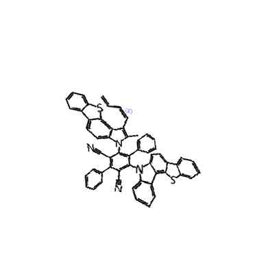 C=C/C=C\c1c(C)n(-c2c(C#N)c(-c3ccccc3)c(C#N)c(-n3c4ccccc4c4c5sc6ccccc6c5ccc43)c2-c2ccccc2)c2ccc3c4ccccc4sc3c12